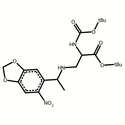 CC(NCC(NC(=O)OC(C)(C)C)C(=O)OC(C)(C)C)c1cc2c(cc1[N+](=O)[O-])OCO2